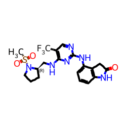 CS(=O)(=O)N1CCC[C@@H]1CNc1nc(Nc2cccc3c2CC(=O)N3)ncc1C(F)(F)F